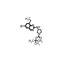 CCc1cc(Br)cc2cnc(N[C@H]3CCN(C(=O)OC(C)(C)C)C3)nc12